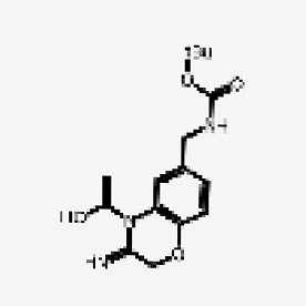 C=C(O)N1C(=N)COc2ccc(CNC(=O)OC(C)(C)C)cc21